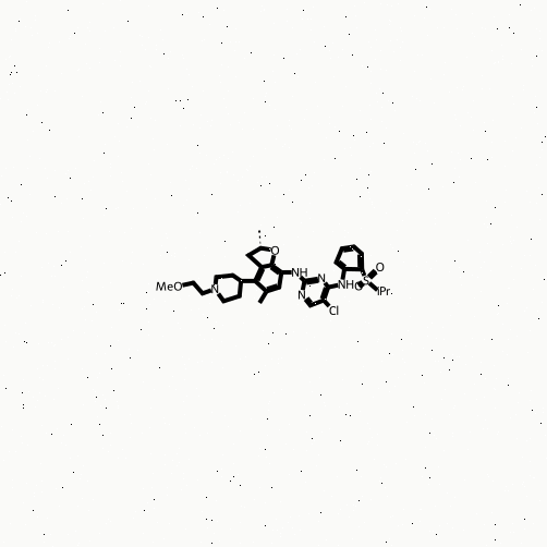 COCCN1CCC(c2c(C)cc(Nc3ncc(Cl)c(Nc4ccccc4S(=O)(=O)C(C)C)n3)c3c2C[C@H](C)O3)CC1